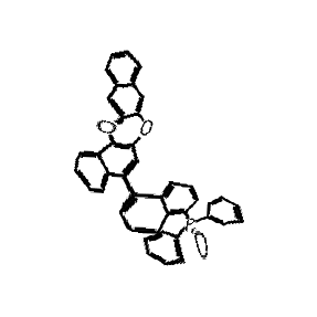 O=P(c1ccccc1)(c1ccccc1)c1cccc2c(-c3cc4c(c5ccccc35)Oc3cc5ccccc5cc3O4)cccc12